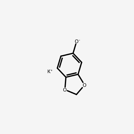 [K+].[O-]c1ccc2c(c1)OCO2